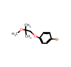 COC(C)(C)COc1ccc(Br)cc1